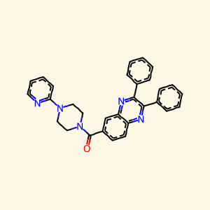 O=C(c1ccc2nc(-c3ccccc3)c(-c3ccccc3)nc2c1)N1CCN(c2ccccn2)CC1